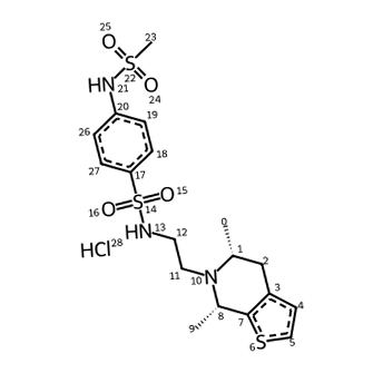 C[C@@H]1Cc2ccsc2[C@H](C)N1CCNS(=O)(=O)c1ccc(NS(C)(=O)=O)cc1.Cl